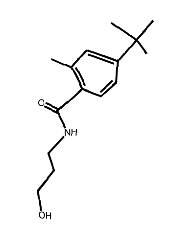 Cc1cc(C(C)(C)C)ccc1C(=O)NCCCO